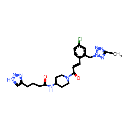 Cc1nnn(Cc2cc(Cl)ccc2C=CC(=O)N2CCC(NC(=O)CCCc3c[nH]nn3)CC2)n1